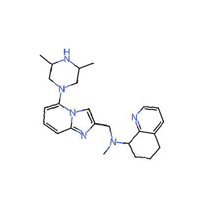 CC1CN(c2cccc3nc(CN(C)C4CCCc5cccnc54)cn23)CC(C)N1